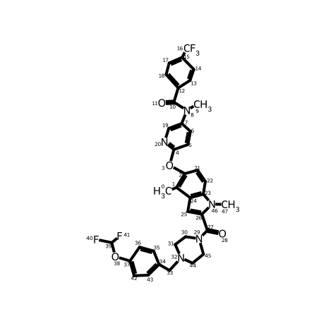 Cc1c(Oc2ccc(N(C)C(=O)c3ccc(C(F)(F)F)cc3)cn2)ccc2c1cc(C(=O)N1CCN(Cc3ccc(OC(F)F)cc3)CC1)n2C